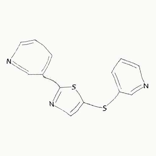 c1cncc(Sc2cnc(-c3cccnc3)s2)c1